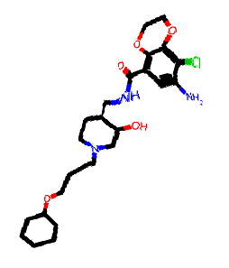 Nc1cc(C(=O)NC[C@@H]2CCN(CCCOC3CCCCC3)CC2O)c2c(c1Cl)OCCO2